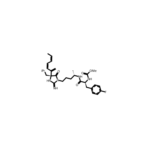 C=C(/C=C\C=C/C)[C@@]1(CC(C)C)NC(=N)N(CCC[C@H](C)NC(=O)[C@H](Cc2ccc(F)cc2)NC(=O)OC)C1=O